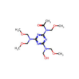 COCN(CO)c1nc(N(COC)COC)nc(N(COC)C(C)=O)n1